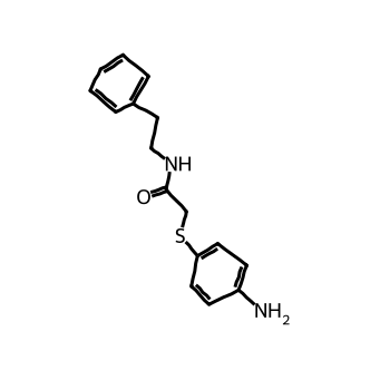 Nc1ccc(SCC(=O)NCCc2ccccc2)cc1